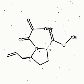 C=CC[C@@H]1CC[C@@H](C(=O)OC(C)(C)C)N1C(=O)C(=O)OC